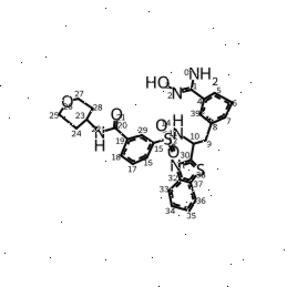 NC(=NO)c1cccc(CC(NS(=O)(=O)c2cccc(C(=O)NC3CCOCC3)c2)c2nc3ccccc3s2)c1